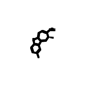 CCCCC1=CC=c2sc3ccc(C)cc3c2=C[C@H]1C